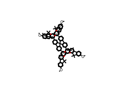 COc1ccc(N(c2ccc3c(c2)C(C)(C)c2cc(OC)ccc2-3)c2ccc3c(c2)C2(c4cc(N(c5ccc(OC)cc5)c5ccc6c(c5)C(C)(C)c5cc(OC)ccc5-6)ccc4-3)c3cc(N(c4ccc(OC)cc4)c4ccc5c(c4)C(C)(C)c4cc(OC)ccc4-5)ccc3-c3ccc(N(c4ccc(OC)cc4)c4ccc5c(c4)C(C)(C)c4cc(OC)ccc4-5)cc32)cc1